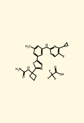 Cc1cc(Nc2ncc(F)c(C3CC3)n2)cc(-c2cnc(C3(NC(N)=O)CCC3)s2)c1.O=C(O)C(F)(F)F